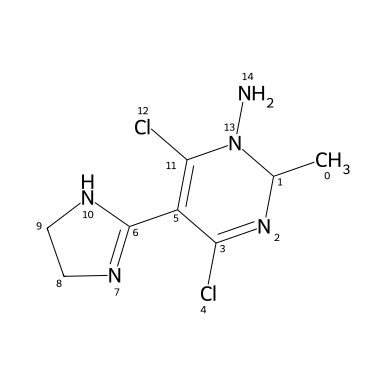 CC1N=C(Cl)C(C2=NCCN2)=C(Cl)N1N